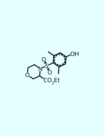 CCOC(=O)C1COCCN1S(=O)(=O)c1c(C)cc(O)cc1C